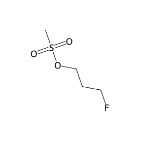 CS(=O)(=O)OCCCF